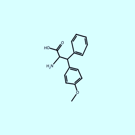 COc1ccc(C(c2ccccc2)C(N)C(=O)O)cc1